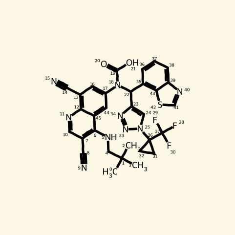 CC(C)(C)CNc1c(C#N)cnc2c(C#N)cc(N(C(=O)O)C(c3cn(C4(C(F)(F)F)CC4)nn3)c3cccc4ncsc34)cc12